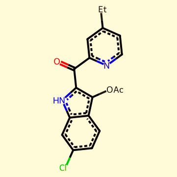 CCc1ccnc(C(=O)c2[nH]c3cc(Cl)ccc3c2OC(C)=O)c1